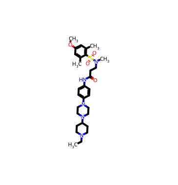 CCN1CCC(N2CCN(c3ccc(NC(=O)CCN(C)S(=O)(=O)c4c(C)cc(OC)cc4C)cc3)CC2)CC1